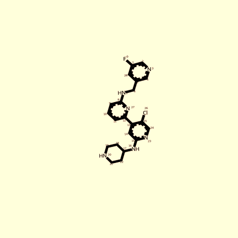 Fc1cncc(CNc2cccc(-c3cc(NC4CCNCC4)ncc3Cl)n2)c1